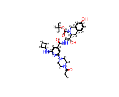 CCC(=O)N1CCN(c2cc(C(=O)NC[C@@H](O)[C@@H]3Cc4ccc(O)cc4CN3C(=O)OC(C)(C)C)cc(NC3CCC3)n2)CC1